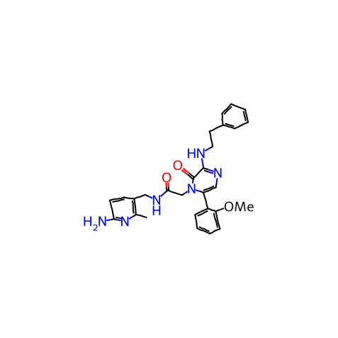 COc1ccccc1-c1cnc(NCCc2ccccc2)c(=O)n1CC(=O)NCc1ccc(N)nc1C